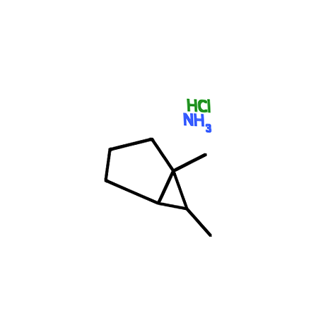 CC1C2CCCC12C.Cl.N